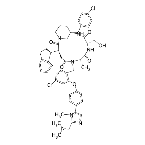 C[C@H]1C(=O)N[C@@H](CO)C(=O)N[C@@]2(Cc3ccc(Cl)cc3)CCCN(C2)C(=O)[C@H]([C@@H]2CCc3ccccc32)CC(=O)N1Cc1ccc(Cl)cc1Oc1ccc(-c2cnc(CN(C)C)n2C)cc1